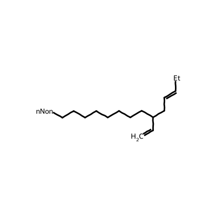 C=CC(CC=CCC)CCCCCCCCCCCCCCCCC